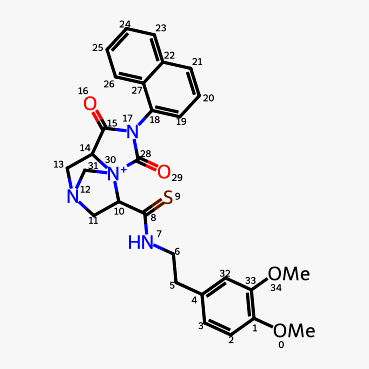 COc1ccc(CCNC(=S)C2CN3CC4C(=O)N(c5cccc6ccccc56)C(=O)[N+]42C3)cc1OC